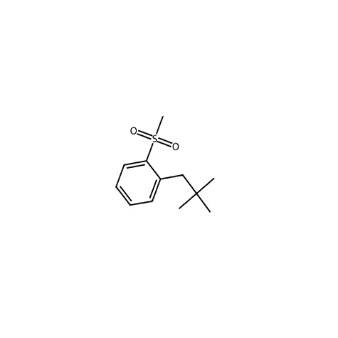 CC(C)(C)Cc1ccccc1S(C)(=O)=O